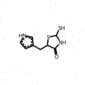 O=C1NC(S)SC1Cc1cc[nH]c1